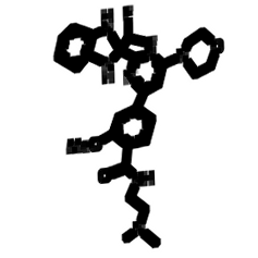 COc1cc(-c2cc(N3CCOCC3)nc(C3(C(F)F)Nc4ccccc4N3)n2)ccc1C(=O)NCCN(C)C